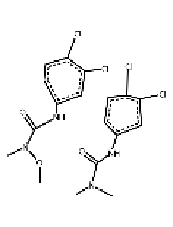 CN(C)C(=O)Nc1ccc(Cl)c(Cl)c1.CON(C)C(=O)Nc1ccc(Cl)c(Cl)c1